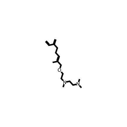 C=CC(=C)CC/C=C(\C)COCCN(C)CCN(C)C